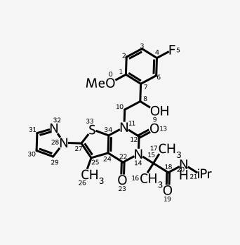 COc1ccc(F)cc1C(O)Cn1c(=O)n(C(C)(C)C(=O)NC(C)C)c(=O)c2c(C)c(-n3cccn3)sc21